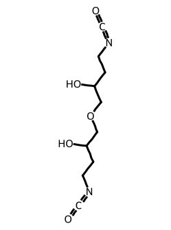 O=C=NCCC(O)COCC(O)CCN=C=O